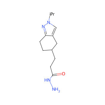 CC(C)n1cc2c(n1)CCC(CCC(=O)NN)C2